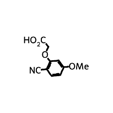 COc1ccc(C#N)c(OCC(=O)O)c1